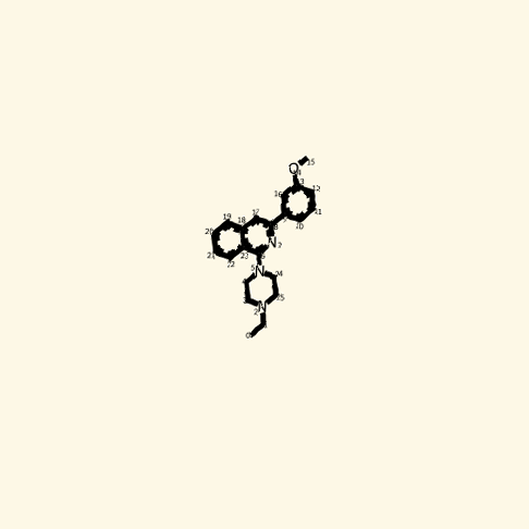 CCN1CCN(c2nc(-c3cccc(OC)c3)cc3ccccc23)CC1